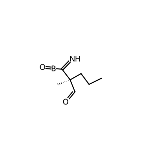 CCC[C@@](C)(C=O)C(=N)B=O